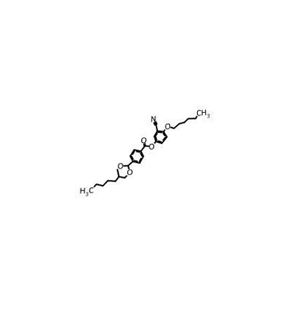 CCCCCCOc1ccc(OC(=O)c2ccc(C3OCC(CCCCC)CO3)cc2)cc1C#N